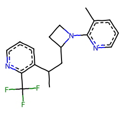 Cc1cccnc1N1CCC1CC(C)c1cccnc1C(F)(F)F